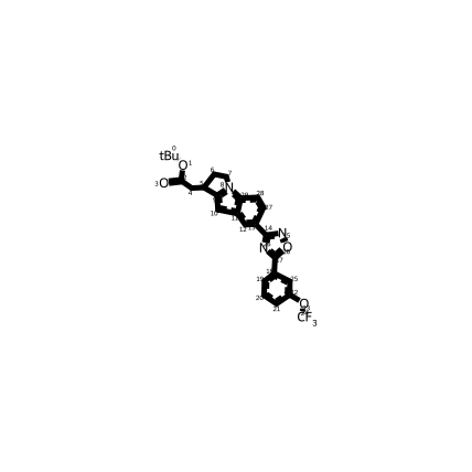 CC(C)(C)OC(=O)CC1CCn2c1cc1cc(-c3noc(-c4cccc(OC(F)(F)F)c4)n3)ccc12